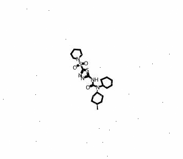 C[C@H]1CC[C@H](N(C(=O)Nc2nnc(S(=O)(=O)N3CCCCC3)s2)C2CCCCC2)CC1